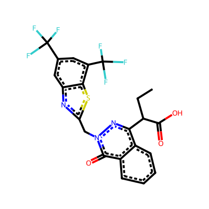 CCC(C(=O)O)c1nn(Cc2nc3cc(C(F)(F)F)cc(C(F)(F)F)c3s2)c(=O)c2ccccc12